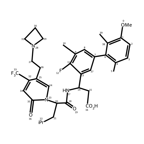 COc1ccc(C)c(-c2cc(C)c(F)c(C(CC(=O)O)NC(=O)C(CC(C)C)n3cc(CCN4CCC4)c(C(F)(F)F)cc3=O)c2)c1C